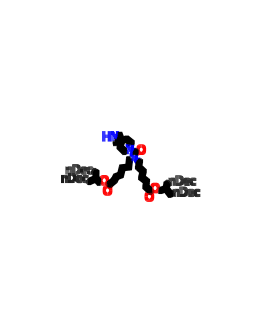 CCCCCCCCCCCC(CCCCCCCCCCC)COC(=O)CCCCCCN(CCCCCCC(=O)OCC(CCCCCCCCCCC)CCCCCCCCCCC)C(=O)N1CCC2(CC1)CNC2